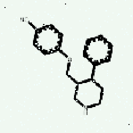 N#Cc1ccc(OCC2CNCCC2c2ccccc2)cc1